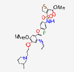 C=C(Oc1ccc(NS(=O)(=O)C2=C(C(=O)OC)SCC2)cc1F)c1cc(OC)c(OCCCN2CCCC(C)C2)cc1/N=C\C